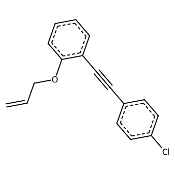 C=CCOc1ccccc1C#Cc1ccc(Cl)cc1